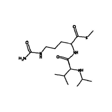 CSC(=O)C(CCCNC(N)=O)NC(=O)C(NC(C)C)C(C)C